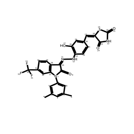 Cc1cc(C)cc(N2C(=O)C(=NNc3ccc(C=C4SC(=O)NC4=O)cc3O)c3ccc(C(F)(F)F)cc32)c1